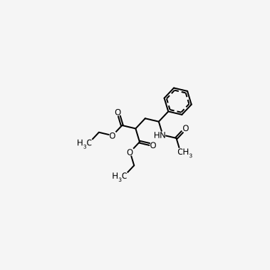 CCOC(=O)C(CC(NC(C)=O)c1ccccc1)C(=O)OCC